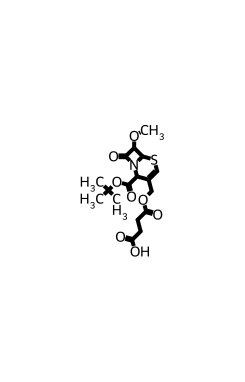 COC1C(=O)N2C(C(=O)OC(C)(C)C)C(COC(=O)CCC(=O)O)=CSC12